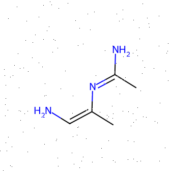 CC(=C/N)/N=C(\C)N